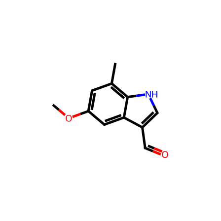 COc1cc(C)c2[nH]cc(C=O)c2c1